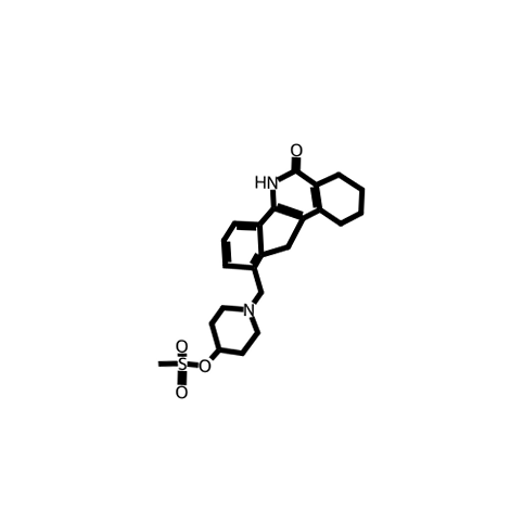 CS(=O)(=O)OC1CCN(Cc2cccc3c2Cc2c-3[nH]c(=O)c3c2CCCC3)CC1